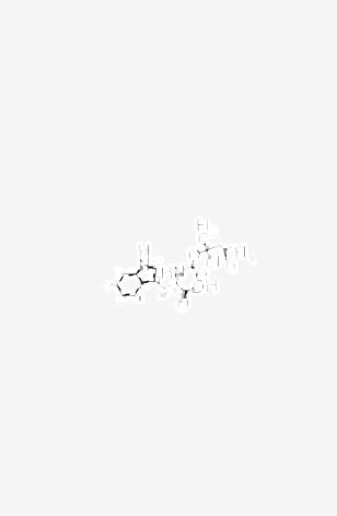 CCC(C)(C)OC(=O)N[C@H](Cc1c[nH]c2ccccc12)C(=O)O